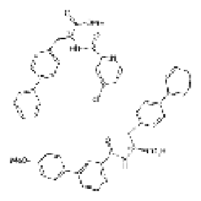 COC(=O)[C@H](Cc1ccc(-c2ccccc2)cc1)NC(=O)c1cc(Cl)ccn1.COc1ccc(-c2ccnc(C(=O)N[C@@H](Cc3ccc(-c4ccccc4)cc3)C(=O)O)c2)cc1